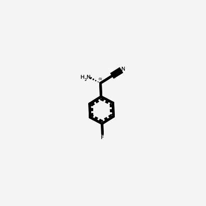 N#C[C@@H](N)c1ccc(F)cc1